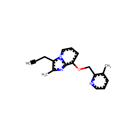 C#CCc1c(C)nc2c(OCc3ncccc3C)cccn12